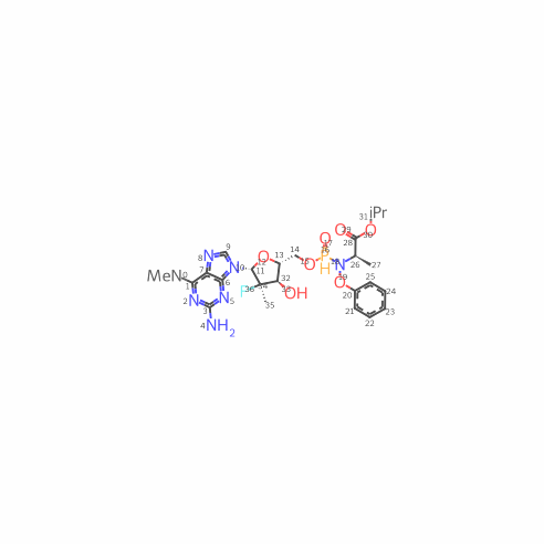 CNc1nc(N)nc2c1ncn2[C@@H]1O[C@H](CO[PH](=O)N(Oc2ccccc2)[C@H](C)C(=O)OC(C)C)[C@@H](O)[C@@]1(C)F